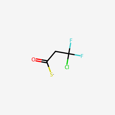 O=C([S])CC(F)(F)Cl